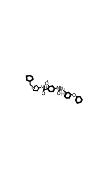 COc1cc(NC(=O)Nc2cccc(Oc3ccccc3)c2)ccc1C(=O)NC1CCN(Cc2ccccc2)C1